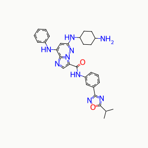 CC(C)c1nc(-c2cccc(NC(=O)c3cnc4c(Nc5ccccc5)cc(NC5CCC(N)CC5)nn34)c2)no1